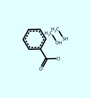 CO.CS.O=C(Cl)c1ccccc1